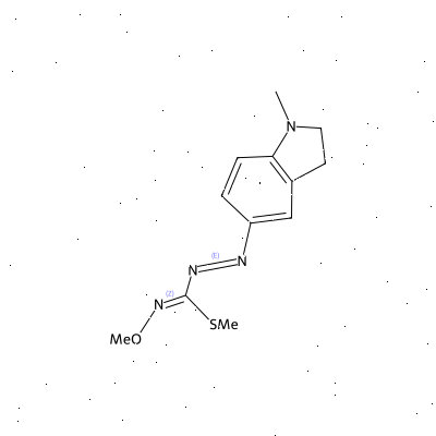 CO/N=C(/N=N/c1ccc2c(c1)CCN2C)SC